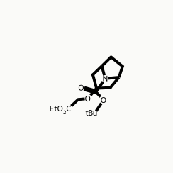 CCOC(=O)COC1CC2CCC(C1)N2C(=O)OC(C)(C)C